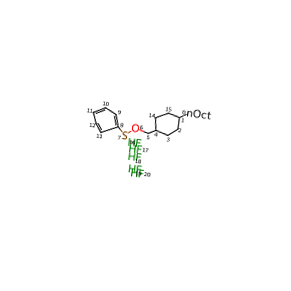 CCCCCCCCC1CCC(COSc2ccccc2)CC1.F.F.F.F.F